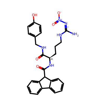 N/C(=N/[N+](=O)[O-])NCCC[C@@H](NC(=O)C1c2ccccc2-c2ccccc21)C(=O)NCc1ccc(O)cc1